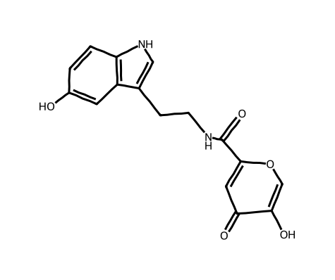 O=C(NCCc1c[nH]c2ccc(O)cc12)c1cc(=O)c(O)co1